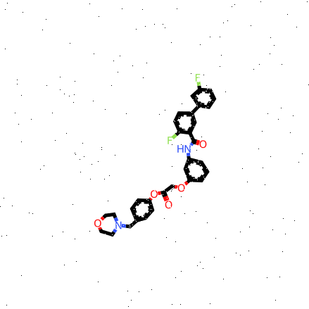 O=C(COc1cccc(NC(=O)c2cc(-c3cccc(F)c3)ccc2F)c1)Oc1ccc(CN2CCOCC2)cc1